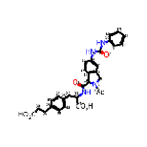 CC(=O)N1Cc2cc(NC(=O)Nc3ccccc3)ccc2C1C(=O)NC(Cc1ccc(CCC(=O)O)cc1)C(=O)O